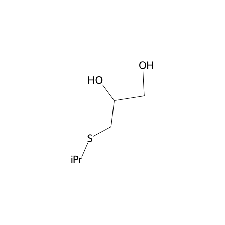 CC(C)SCC(O)CO